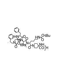 CC1C[C@@H](NC(=O)C(Cc2ccccc2)NC(=O)CN(C[C@H](C)c2ccccc2)C(=O)OC(C)(C)C)C(=O)N1C(CCCCNC(=O)OC(C)(C)C)C(=O)N1CCC(N)(C(=O)O)CC1